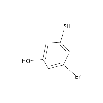 Oc1cc(S)cc(Br)c1